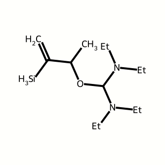 C=C([SiH3])C(C)OC(N(CC)CC)N(CC)CC